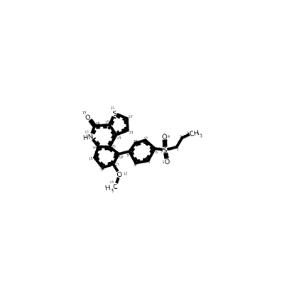 CCCS(=O)(=O)c1ccc(-c2c(OC)ccc3[nH]c(=O)c4sccc4c23)cc1